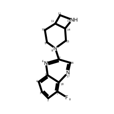 Fc1cccc2nc(N3CCC4CNC4C3)cnc12